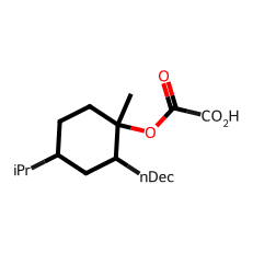 CCCCCCCCCCC1CC(C(C)C)CCC1(C)OC(=O)C(=O)O